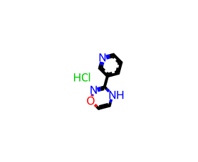 C1=CON=C(c2cccnc2)N1.Cl